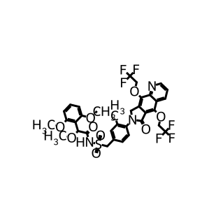 COc1cccc(OC)c1C(OC)C(=O)NS(=O)(=O)Cc1ccc(N2Cc3c(c(OCC(F)(F)F)c4cccnc4c3OCC(F)(F)F)C2=O)c(C)c1